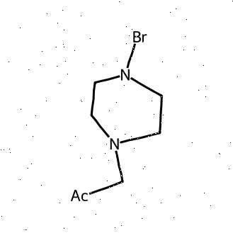 CC(=O)CN1CCN(Br)CC1